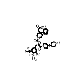 Nc1c(Br)cc(C[C@@H](OC(=O)N2CCC3(CC2)CC(=O)Nc2ccccc23)C(=O)N2CCC(N3CCNCC3)CC2)cc1C(F)(F)F